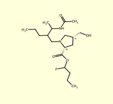 CCCC(F)OC(=O)[C@H]1C[C@@H](CO)CN1CC(CCC)C(C)NC(C)=O